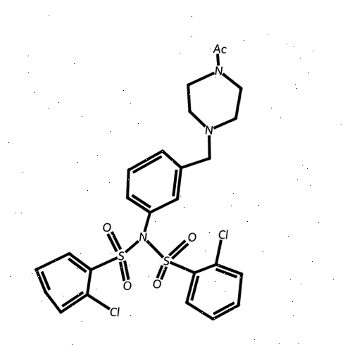 CC(=O)N1CCN(Cc2cccc(N(S(=O)(=O)c3ccccc3Cl)S(=O)(=O)c3ccccc3Cl)c2)CC1